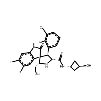 CC(C)(C)C[C@H]1N[C@@H](C(=O)N[C@H]2C[C@H](O)C2)[C@H](c2cccc(Cl)c2F)[C@@]12C(=O)Nc1cc(Cl)c(F)cc12